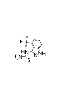 NC(=S)Nc1n[nH]c2cccc(C(F)(F)F)c12